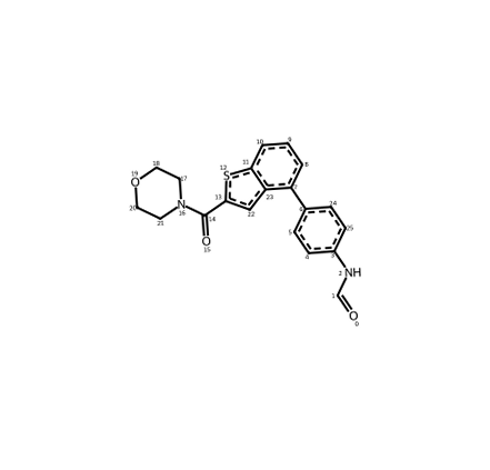 O=CNc1ccc(-c2cccc3sc(C(=O)N4CCOCC4)cc23)cc1